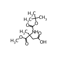 COC(=O)[C@@](C)(CC(=O)O)NC(=O)OC(C)(C)C